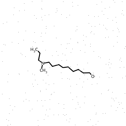 CCCN(C)CCCCCCCCC[O]